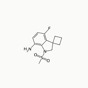 CS(=O)(=O)N1CC2(CCC2)c2c(F)ccc(N)c21